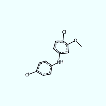 COc1cc(Nc2ccc(Cl)cc2)ccc1Cl